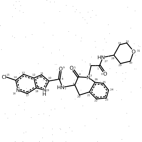 O=C(CN1C(=O)C(NC(=O)c2cc3cc(Cl)ncc3[nH]2)Cc2ccccc21)NC1CCOCC1